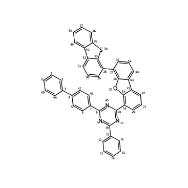 c1ccc(-c2ccc(-c3nc(-c4ccccc4)nc(-c4cccc5c4oc4c(-c6cccc7c6sc6ccccc67)cccc45)n3)cc2)cc1